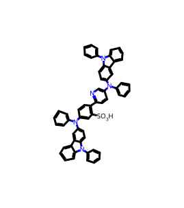 O=S(=O)(O)c1cc(N(c2ccccc2)c2ccc3c(c2)c2ccccc2n3-c2ccccc2)ccc1-c1ccc(N(c2ccccc2)c2ccc3c(c2)c2ccccc2n3-c2ccccc2)cn1